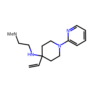 C=CC1(NCCNC)CCN(c2ccccn2)CC1